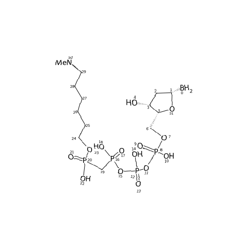 B[C@H]1C[C@@H](O)[C@@H](COP(=O)(O)OP(=O)(O)OP(=O)(O)CP(=O)(O)OCCCCCCNC)O1